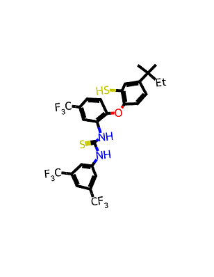 CCC(C)(C)c1ccc(Oc2ccc(C(F)(F)F)cc2NC(=S)Nc2cc(C(F)(F)F)cc(C(F)(F)F)c2)c(S)c1